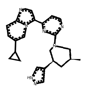 C[C@H]1C[C@@H](c2cn[nH]c2)CN(c2nccc(-c3cnc4ccc(C5CC5)cn34)n2)C1